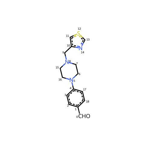 O=Cc1ccc(N2CCN(Cc3cscn3)CC2)cc1